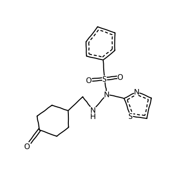 O=C1CCC(CNN(c2nccs2)S(=O)(=O)c2ccccc2)CC1